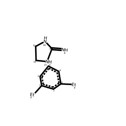 CCc1cccc(CC)c1.N=C1NCCN1